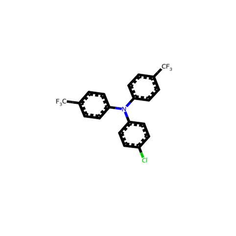 FC(F)(F)c1ccc(N(c2ccc(Cl)cc2)c2ccc(C(F)(F)F)cc2)cc1